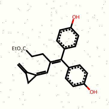 C=C1C/C1=C/C(CCC(=O)OCC)=C(c1ccc(O)cc1)c1ccc(O)cc1